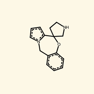 c1ccc2c(c1)Cn1cccc1C1(CCNC1)O2